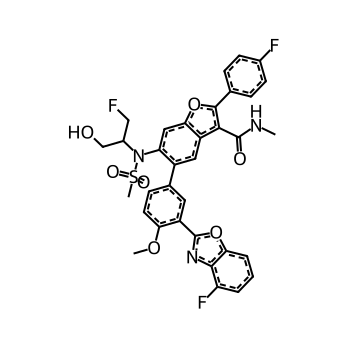 CNC(=O)c1c(-c2ccc(F)cc2)oc2cc(N(C(CO)CF)S(C)(=O)=O)c(-c3ccc(OC)c(-c4nc5c(F)cccc5o4)c3)cc12